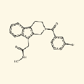 O=C(Cn1c2c(c3ccccc31)CCN(C(=O)c1cccc(Br)c1)C2)NO